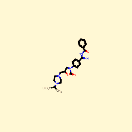 CCOC(=O)C(C)N1CCN(CC2CN(c3ccc(C(=N)NC(=O)c4ccccc4)cc3)C(=O)O2)CC1